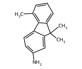 Cc1cccc2c1-c1ccc(N)cc1C2(C)C